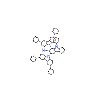 N#Cc1c(-n2c3ccc(-c4ccccc4)cc3c3cc(-c4ccccc4)ccc32)cc2c3ccccc3n(-c3ccccc3)c2c1-n1c2ccc(-c3ccccc3)cc2c2cc(-c3ccccc3)ccc21